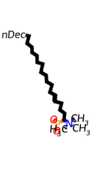 CCCCCCCCCCCCCCCCCCCCCCC=CCCCC(P(=O)=O)[N+](C)(C)C